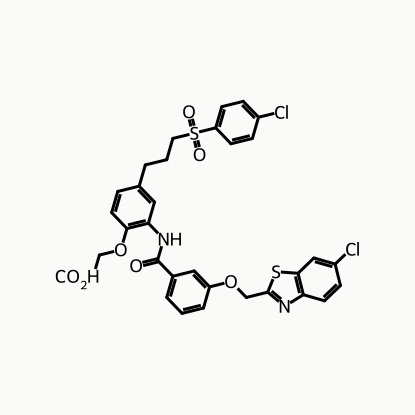 O=C(O)COc1ccc(CCCS(=O)(=O)c2ccc(Cl)cc2)cc1NC(=O)c1cccc(OCc2nc3ccc(Cl)cc3s2)c1